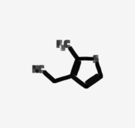 N#CCc1ccsc1C(F)(F)F